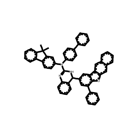 CC1(C)c2ccccc2-c2ccc(N(C3=Nc4ccccc4C(c4cc(-c5ccccc5)c5oc6cc7ccccc7cc6c5c4)N3)c3ccc(-c4ccccc4)cc3)cc21